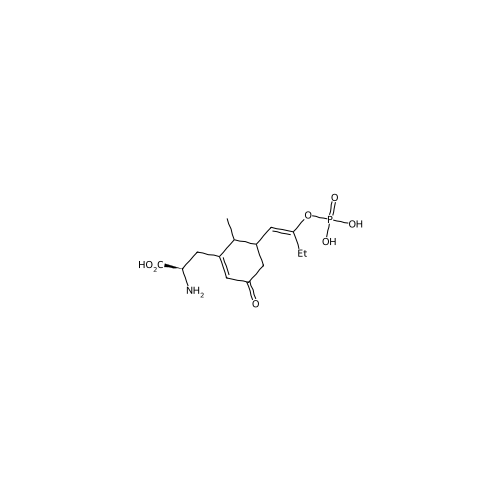 CC/C(=C\C1CC(=O)C=C(C[C@@H](N)C(=O)O)C1C)OP(=O)(O)O